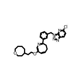 Clc1ccc2nnn(Cc3cccc(/C4=N/C=C(OCCC5CCCCOCC5)\C=C/CC4)c3)c2n1